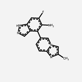 Cc1cn2cc(-c3c(N)c(F)cc4[nH]ncc34)ccc2n1